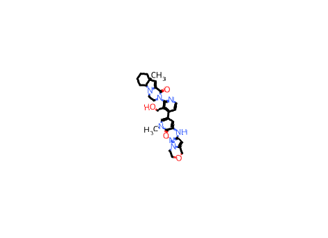 Cn1cc(-c2ccnc(N3CCN4C(=CC5(C)CCCCC45)C3=O)c2CO)cc(Nc2cc3n(n2)CCOC3)c1=O